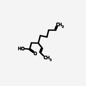 C=CCCCC(C=CC)CC(=O)O